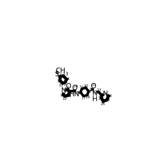 CSc1ccc(Oc2ncccc2C(=O)N[C@H]2CC[C@@H](C(=O)NCc3ccccn3)CC2)cc1